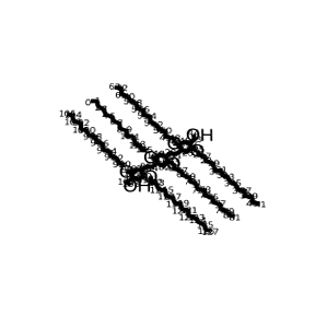 CCCCCCCCCCCCCCCCOc1cc(/C=C/c2cc(OCCCCCCCCCCCCCCCC)c(CO)cc2OCCCCCCCCCCCCCCCC)c(OCCCCCCCCCCCCCCCC)cc1/C=C/c1cc(OCCCCCCCCCCCCCCCC)c(CO)cc1OCCCCCCCCCCCCCCCC